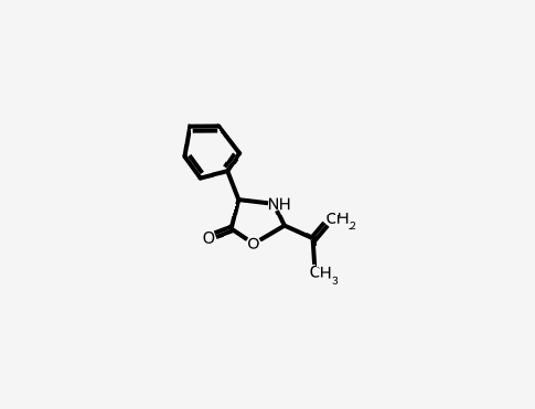 C=C(C)C1NC(c2ccccc2)C(=O)O1